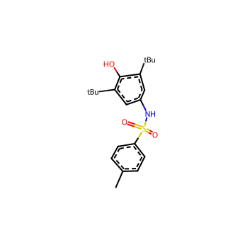 Cc1ccc(S(=O)(=O)Nc2cc(C(C)(C)C)c(O)c(C(C)(C)C)c2)cc1